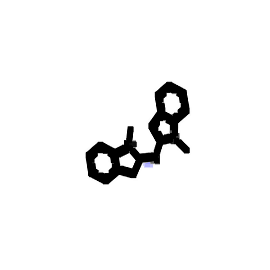 Cn1c(/N=C2/C=c3ccccc3=[N+]2C)cc2ccccc21